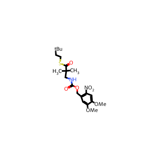 COc1cc(COC(=O)NCC(C)(C)C(=O)SCCC(C)(C)C)c([N+](=O)[O-])cc1OC